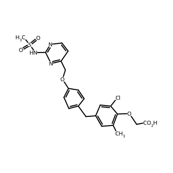 Cc1cc(Cc2ccc(OCc3ccnc(NS(C)(=O)=O)n3)cc2)cc(Cl)c1OCC(=O)O